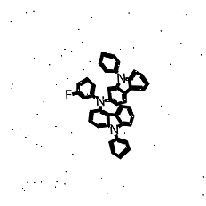 Fc1cccc(N(c2ccc3c4ccccc4n(-c4ccccc4)c3c2)c2cccc3c2c2ccccc2n3-c2ccccc2)c1